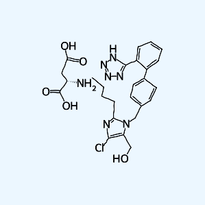 CCCCc1nc(Cl)c(CO)n1Cc1ccc(-c2ccccc2-c2nnn[nH]2)cc1.N[C@@H](CC(=O)O)C(=O)O